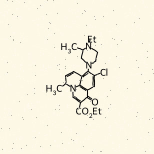 CCOC(=O)c1cn2c3c(c(N4CCN(CC)C(C)C4)c(Cl)cc3c1=O)C=CC2C